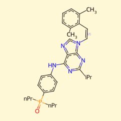 CCCP(=O)(CCC)c1ccc(Nc2nc(C(C)C)nc3c2ncn3/C=C\c2c(C)cccc2C)cc1